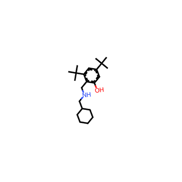 CC(C)(C)c1cc(O)c(CNCC2CCCCC2)c(C(C)(C)C)c1